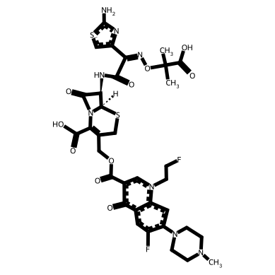 CN1CCN(c2cc3c(cc2F)c(=O)c(C(=O)OCC2=C(C(=O)O)N4C(=O)[C@@H](NC(=O)/C(=N\OC(C)(C)C(=O)O)c5csc(N)n5)[C@H]4SC2)cn3CCF)CC1